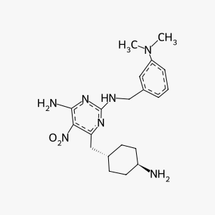 CN(C)c1cccc(CNc2nc(N)c([N+](=O)[O-])c(C[C@H]3CC[C@H](N)CC3)n2)c1